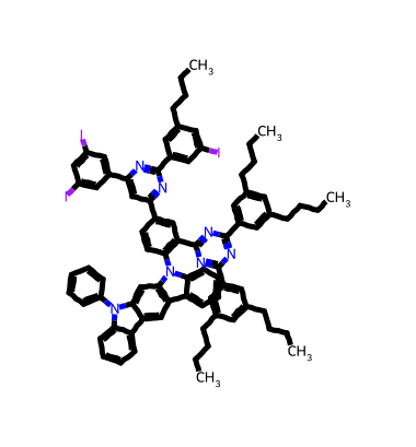 CCCCc1cc(I)cc(-c2nc(-c3cc(I)cc(I)c3)cc(-c3ccc(-n4c5ccccc5c5cc6c7ccccc7n(-c7ccccc7)c6cc54)c(-c4nc(-c5cc(CCCC)cc(CCCC)c5)nc(-c5cc(CCCC)cc(CCCC)c5)n4)c3)n2)c1